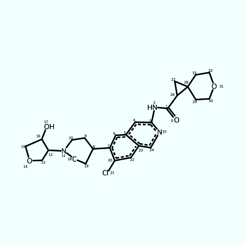 O=C(Nc1cc2cc(C3CCN(C4COCC4O)CC3)c(Cl)cc2cn1)C1CC12CCOCC2